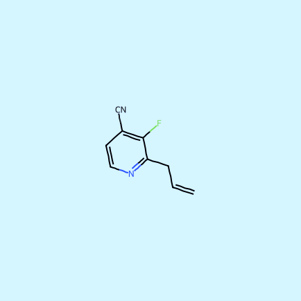 C=CCc1nccc(C#N)c1F